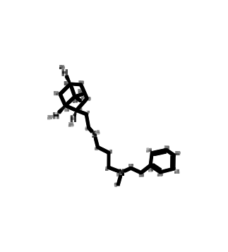 CN(CCCSCC[C@@H]1CC[C@H]2C[C@@H]1C2(C)C)CCc1ccccc1